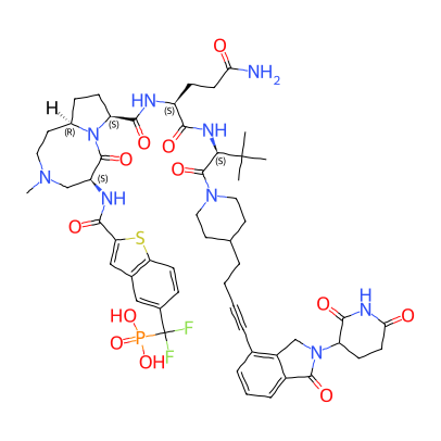 CN1CC[C@H]2CC[C@@H](C(=O)N[C@@H](CCC(N)=O)C(=O)N[C@H](C(=O)N3CCC(CCC#Cc4cccc5c4CN(C4CCC(=O)NC4=O)C5=O)CC3)C(C)(C)C)N2C(=O)[C@@H](NC(=O)c2cc3cc(C(F)(F)P(=O)(O)O)ccc3s2)C1